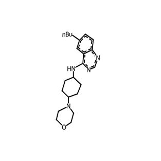 CCCCc1ccc2ncnc(NC3CCC(N4CCOCC4)CC3)c2c1